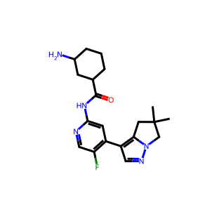 CC1(C)Cc2c(-c3cc(NC(=O)C4CCCC(N)C4)ncc3F)cnn2C1